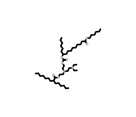 CCCCCCCC(CCCCCC)C(=O)OCCN(CCOC(=O)OC(CCCCCC)CCCCCCCCC(=O)OCCCCCC)CCN(CC)CC